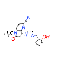 Cn1c(=O)cc(N2CCN(Cc3ccccc3O)CC2)c2nc(C#N)ccc21